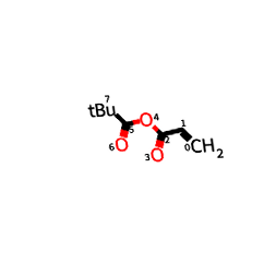 C=CC(=O)OC(=O)C(C)(C)C